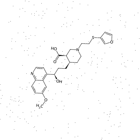 COc1ccc2nccc([C@H](O)CC[C@@H]3CCN(CCSc4ccoc4)C[C@@H]3C(=O)O)c2c1